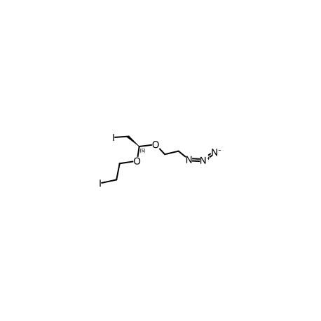 [N-]=[N+]=NCCO[C@H](CI)OCCI